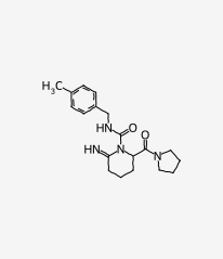 Cc1ccc(CNC(=O)N2C(=N)CCCC2C(=O)N2CCCC2)cc1